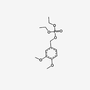 CCOP(=O)(OCC)OCc1ccc(OC)c(OC)c1